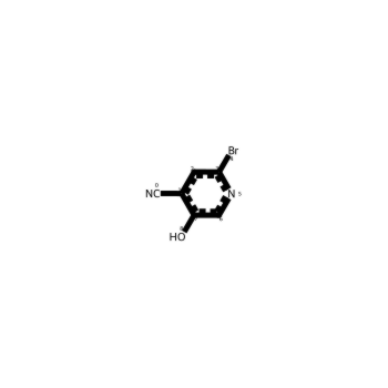 N#Cc1cc(Br)ncc1O